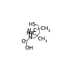 CC(C)(CS)CC(C)(C)CNC1OC1O